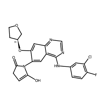 O=C1CC=C(O)N1c1cc2c(Nc3ccc(F)c(Cl)c3)ncnc2cc1O[C@H]1CCOC1